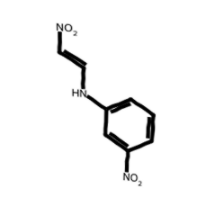 O=[N+]([O-])C=CNc1cccc([N+](=O)[O-])c1